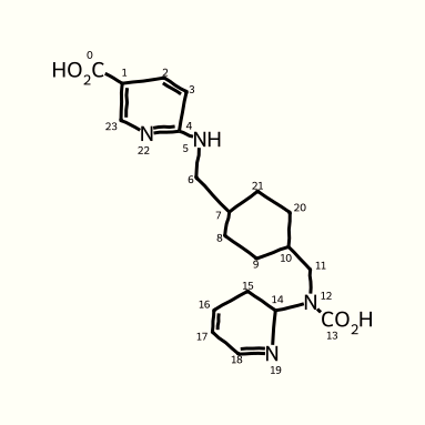 O=C(O)c1ccc(NCC2CCC(CN(C(=O)O)C3CC=CC=N3)CC2)nc1